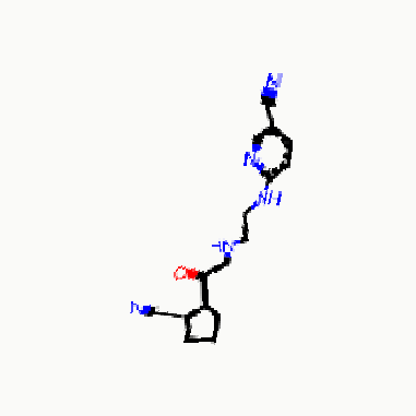 N#Cc1ccc(NCCNCC(=O)C2CCC[C@H]2C#N)nc1